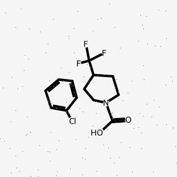 Clc1ccccc1.O=C(O)N1CCC(C(F)(F)F)CC1